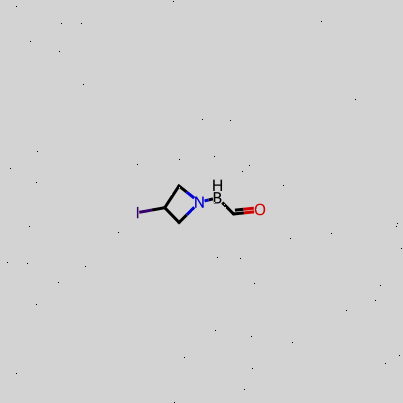 O=CBN1CC(I)C1